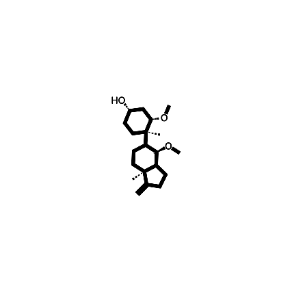 C=C1CCC2[C@H](OC)C([C@@]3(C)CC[C@H](O)C[C@@H]3OC)CC[C@]12C